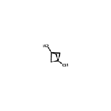 OC12CC(O)(C1)C2